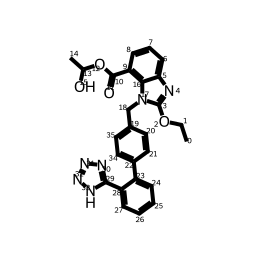 CCOc1nc2cccc(C(=O)OC(C)O)c2n1Cc1ccc(-c2ccccc2-c2nnn[nH]2)cc1